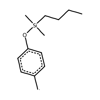 [CH2]c1ccc(O[Si](C)(C)CCCC)cc1